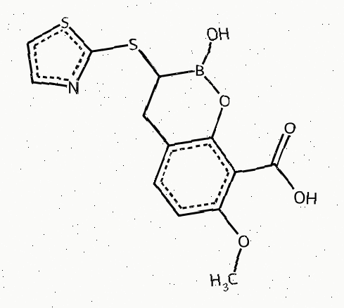 COc1ccc2c(c1C(=O)O)OB(O)C(Sc1nccs1)C2